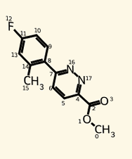 COC(=O)c1ccc(-c2ccc(F)cc2C)nn1